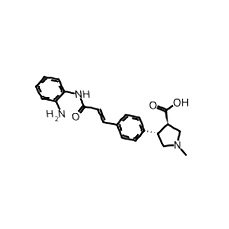 CN1C[C@H](C(=O)O)[C@@H](c2ccc(/C=C/C(=O)Nc3ccccc3N)cc2)C1